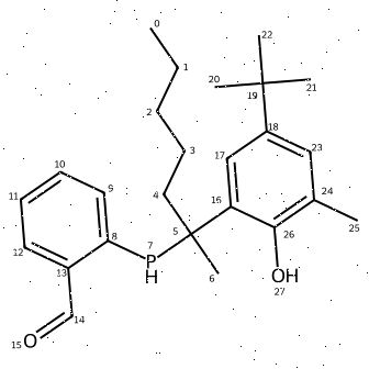 CCCCCC(C)(Pc1ccccc1C=O)c1cc(C(C)(C)C)cc(C)c1O